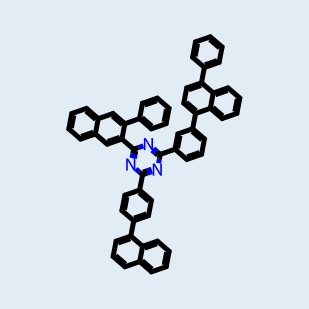 c1ccc(-c2cc3ccccc3cc2-c2nc(-c3ccc(-c4cccc5ccccc45)cc3)nc(-c3cccc(-c4ccc(-c5ccccc5)c5ccccc45)c3)n2)cc1